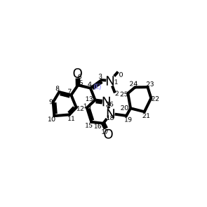 CN(C)/C=C(/C(=O)c1ccccc1)c1ccc(=O)n(CC2CCCCC2)n1